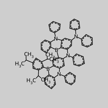 CC(C)c1cc(C(C)C)c(B2c3ccccc3N(c3ccccc3)c3cc4c(cc32)B2c3ccccc3N(c3ccccc3)c3cc(N(c5ccccc5)c5ccccc5)cc(c32)N4c2ccccc2)c(C(C)C)c1